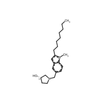 CCCCCCCCc1cc2cc(CN3CC[C@H](O)C3)ccc2n1C